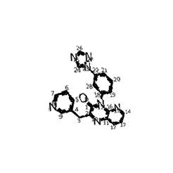 O=c1c(Cc2cccnc2)nc2cccnc2n1-c1cccc(-n2cncn2)c1